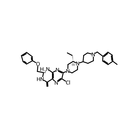 C=C(NCCOc1ccccc1)c1nc(Cl)c(N2CCN(C3CCN(Cc4ccc(C)cc4)CC3)[C@@H](CC)C2)nc1N